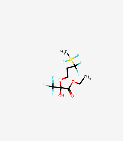 CCOC(=O)C(O)(OCCC(F)(F)S(C)(F)F)C(F)(F)F